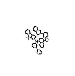 CC1(C)c2ccccc2-c2ccc(N(c3cccc(-c4ccccc4)c3)c3cc4c(oc5cccc(-c6ccc7ccccc7c6)c54)c4ccccc34)cc21